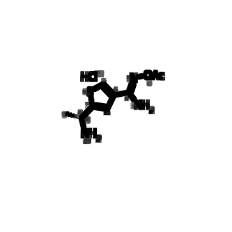 CC(=O)ON=C(N)c1csc([C@@H](C)N)c1.Cl